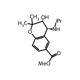 COC(=O)c1ccc2c(c1)[C@H](NC(C)C)[C@@H](O)C(C)(C)O2